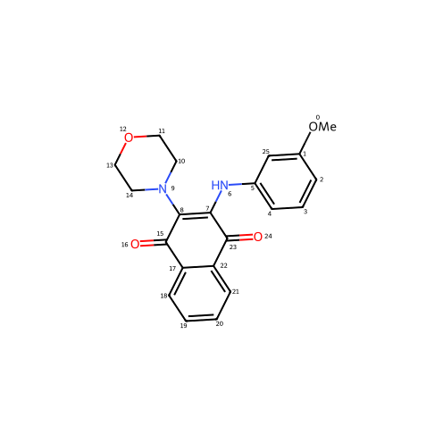 COc1cccc(NC2=C(N3CCOCC3)C(=O)c3ccccc3C2=O)c1